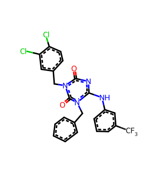 O=c1nc(Nc2cccc(C(F)(F)F)c2)n(Cc2ccccc2)c(=O)n1Cc1ccc(Cl)c(Cl)c1